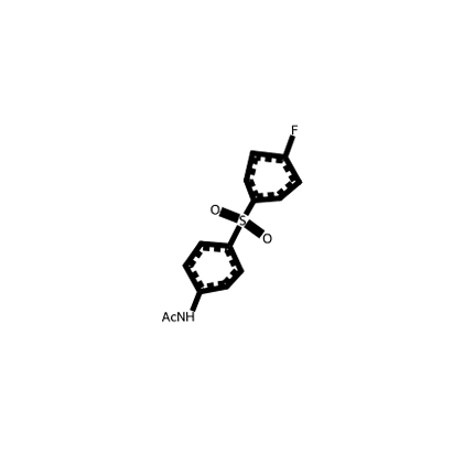 CC(=O)Nc1ccc(S(=O)(=O)c2ccc(F)cc2)cc1